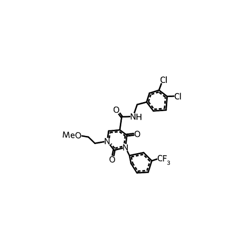 COCCn1cc(C(=O)NCc2ccc(Cl)c(Cl)c2)c(=O)n(-c2cccc(C(F)(F)F)c2)c1=O